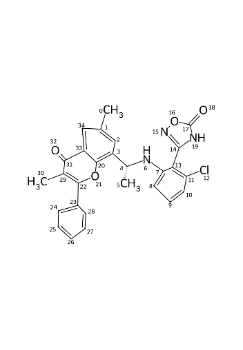 Cc1cc([C@@H](C)Nc2cccc(Cl)c2-c2noc(=O)[nH]2)c2oc(-c3ccccc3)c(C)c(=O)c2c1